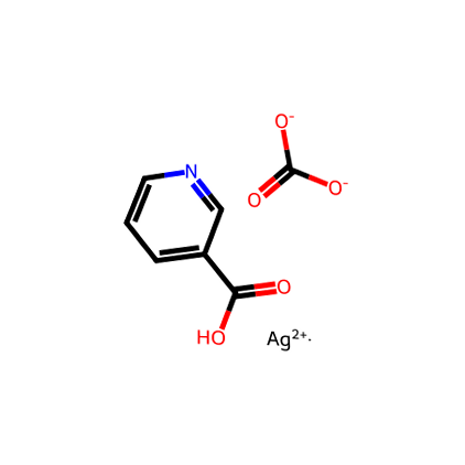 O=C(O)c1cccnc1.O=C([O-])[O-].[Ag+2]